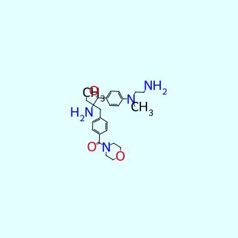 CCC(N)(Cc1ccc(C(=O)N2CCOCC2)cc1)C(=O)c1ccc(N(C)CCN)cc1